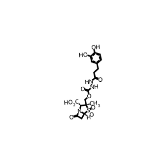 C[C@]1(COC(=O)NNC(=O)CCc2ccc(O)c(O)c2)[C@H](C(=O)O)N2C(=O)C[C@H]2S1(=O)=O